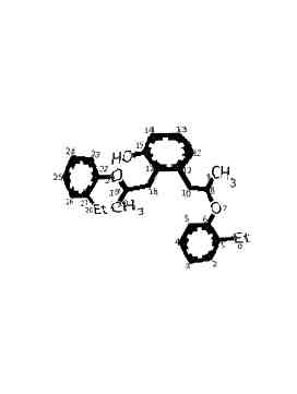 CCc1ccccc1OC(C)Cc1cccc(O)c1CC(C)Oc1ccccc1CC